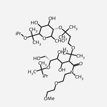 COCCOCCN(C)C(=O)C(C(O)C(O)[C@@H](CO)OC(C)(C)C(C)C)C(C)(C)OCCC(C)(C)O[C@@H]1C(C=O)OC(C(C)(C)OC(C)C)C(O)C1O